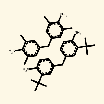 CC(C)(C)c1cc(Cc2ccc(N)c(C(C)(C)C)c2)ccc1N.Cc1cc(Cc2cc(C)c(N)c(C)c2)cc(C)c1N